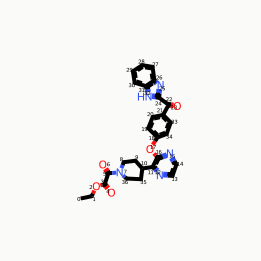 CCOC(=O)C(=O)N1CCC(c2nccnc2Oc2ccc(C(=O)c3nc4ccccc4[nH]3)cc2)CC1